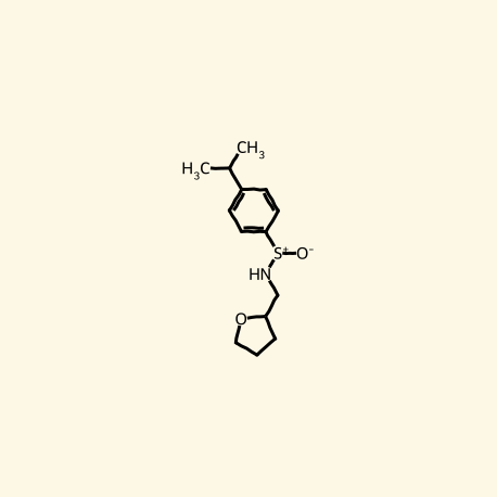 CC(C)c1ccc([S+]([O-])NCC2CCCO2)cc1